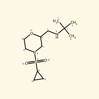 CC(C)(C)NCC1CN(S(=O)(=O)C2CC2)CCO1